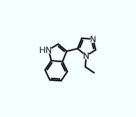 CCn1cncc1-c1c[nH]c2ccccc12